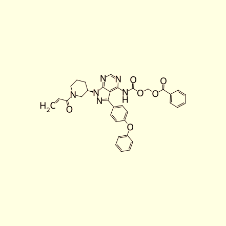 C=CC(=O)N1CCC[C@@H](n2nc(-c3ccc(Oc4ccccc4)cc3)c3c(NC(=O)OCOC(=O)c4ccccc4)ncnc32)C1